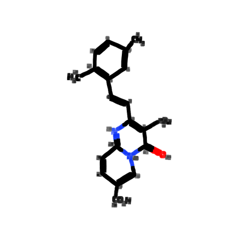 CCCCc1c(C=Cc2cc(C)ccc2C)nc2ccc(C(=O)O)cn2c1=O